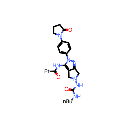 CCCCNC(=O)NN1Cc2nn(-c3ccc(N4CCCC4=O)cc3)c(NC(=O)CC)c2C1